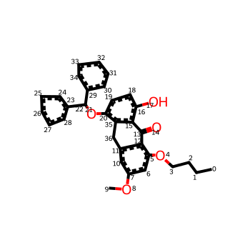 CCCCOc1cc(OC)cc2c1C(=O)c1c(O)ccc(OC(c3ccccc3)c3ccccc3)c1C2